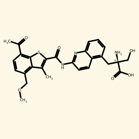 COCc1ccc(C(C)=O)c2sc(C(=O)Nc3ccc4c(C[C@](N)(CO)C(=O)O)cccc4n3)c(C)c12